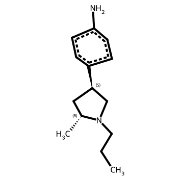 CCCN1C[C@H](c2ccc(N)cc2)C[C@H]1C